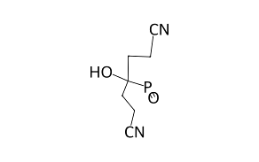 N#CCCC(O)(CCC#N)P=O